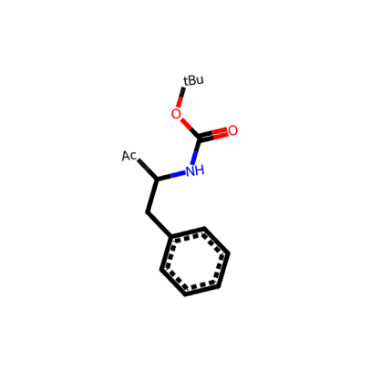 [CH2]C(=O)C(Cc1ccccc1)NC(=O)OC(C)(C)C